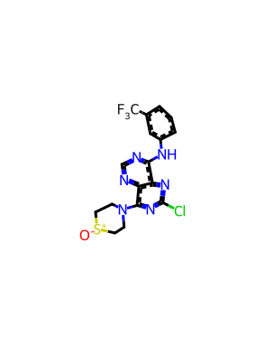 [O-][S+]1CCN(c2nc(Cl)nc3c(Nc4cccc(C(F)(F)F)c4)ncnc23)CC1